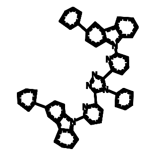 c1ccc(-c2ccc3c(c2)c2ccccc2n3-c2cccc(-c3nnc(-c4cccc(-n5c6ccccc6c6cc(-c7ccccc7)ccc65)n4)n3-c3ccccc3)n2)cc1